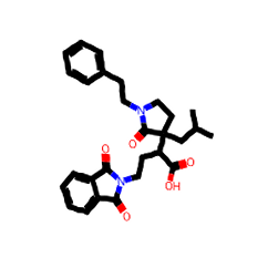 CC(C)CC1(C(CCN2C(=O)c3ccccc3C2=O)C(=O)O)CCN(CCc2ccccc2)C1=O